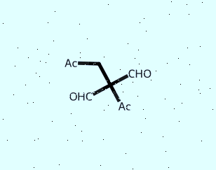 CC(=O)CC(C=O)(C=O)C(C)=O